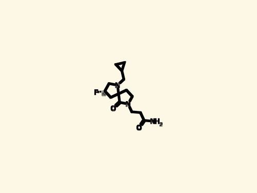 NC(=O)CCN1CCC2(C[C@H](F)CN2CC2CC2)C1=O